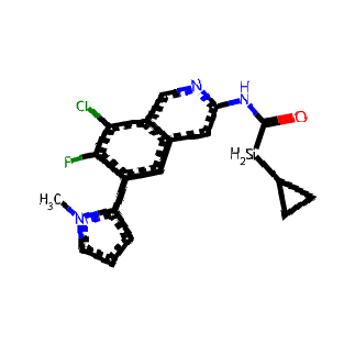 Cn1cccc1-c1cc2cc(NC(=O)[SiH2]C3CC3)ncc2c(Cl)c1F